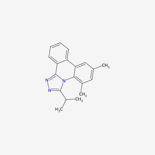 Cc1cc(C)c2c(c1)c1ccccc1c1nnc(C(C)C)n12